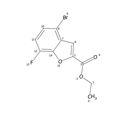 CCOC(=O)c1cc2c(Br)ccc(F)c2o1